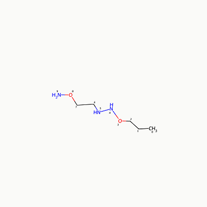 CCCONNCCON